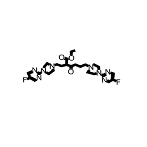 CCOC(=O)C(CCN1CCN(c2ncc(F)cn2)CC1)C(=O)CCCN1CCN(c2ncc(F)cn2)CC1